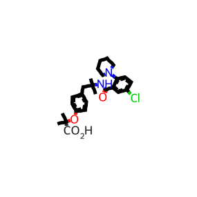 CC(C)(Cc1ccc(OC(C)(C)C(=O)O)cc1)NC(=O)c1cc(Cl)ccc1N1CCCCC1